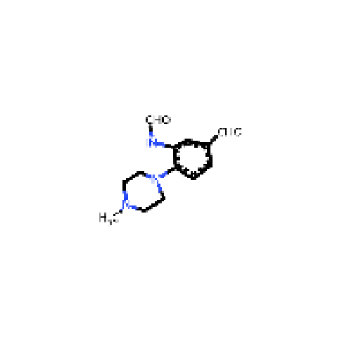 CN1CCN(c2ccc(C=O)cc2NC=O)CC1